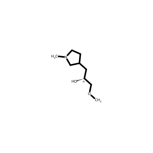 COC[C@H](O)CC1CCN(C)C1